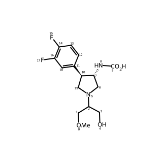 COCC(CO)N1C[C@@H](NC(=O)O)[C@H](c2ccc(F)c(F)c2)C1